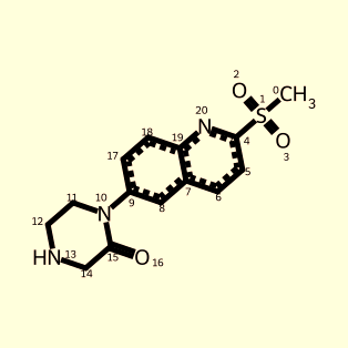 CS(=O)(=O)c1ccc2cc(N3CCNCC3=O)ccc2n1